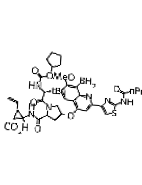 Bc1c(OC)ccc2c(O[C@@H]3C[C@@H](C(=O)N[C@]4(C(=O)O)C[C@H]4C=C)N(C(=O)[C@@H](NC(=O)OC4CCCC4)C(C)(C)C)C3)cc(-c3csc(NC(=O)CCC)n3)nc12